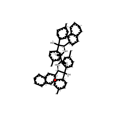 Cc1ccc(C(O)(c2ccc(C)cc2)[C@H](NC(=O)C(=O)N[C@H](c2ccc3ccccc3c2)C(O)(c2ccc(C)cc2)c2ccc(C)cc2)c2ccc3ccccc3c2)cc1